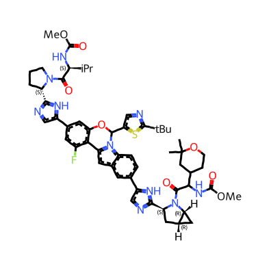 COC(=O)NC(C(=O)N1[C@@H]2C[C@@H]2C[C@H]1c1ncc(-c2ccc3c(c2)cc2n3C(c3cnc(C(C)(C)C)s3)Oc3cc(-c4cnc([C@@H]5CCCN5C(=O)[C@@H](NC(=O)OC)C(C)C)[nH]4)cc(F)c3-2)[nH]1)C1CCOC(C)(C)C1